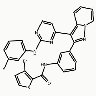 O=C(Nc1cccc(-c2nn3ccccc3c2-c2ccnc(Nc3cccc(F)c3)n2)c1)c1sccc1Br